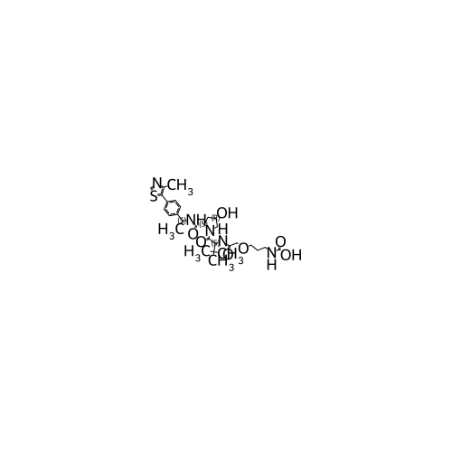 Cc1ncsc1-c1ccc([C@H](C)NC(=O)[C@@H]2C[C@@H](O)CN2C(=O)[C@@H](NC(=O)COCCCNC(=O)O)C(C)(C)C)cc1